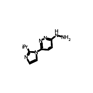 CC(C)c1nccn1-c1ccc(NN)nn1